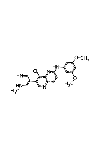 CN/C=C(\C=N)c1cnc2ccc(Nc3cc(OC)cc(OC)c3)nc2c1Cl